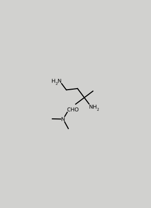 CC(C)(N)CCN.CN(C)C=O